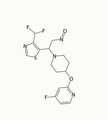 O=NCC(c1scnc1C(F)F)N1CCC(Oc2cc(F)ccn2)CC1